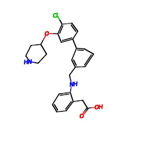 O=C(O)Cc1ccccc1NCc1cccc(-c2ccc(Cl)c(OC3CCNCC3)c2)c1